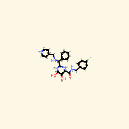 O=C(NCc1ccc(F)cc1)c1nc(C(NCc2ccncc2)c2ccccc2)nc(O)c1O